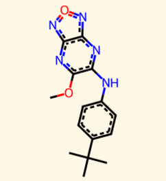 COc1nc2nonc2nc1Nc1ccc(C(C)(C)C)cc1